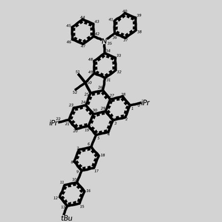 CC(C)c1cc2cc(-c3ccc(-c4ccc(C(C)(C)C)cc4)cc3)c3cc(C(C)C)cc4c5c(c(c1)c2c34)-c1ccc(N(c2ccccc2)c2ccccc2)cc1C5(C)C